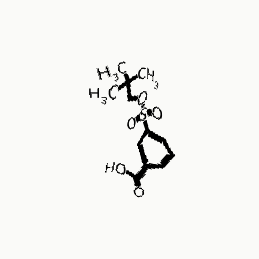 CC(C)(C)COS(=O)(=O)c1cccc(C(=O)O)c1